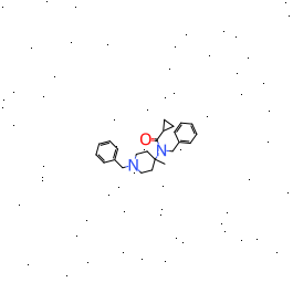 CC1(N(Cc2ccccc2)C(=O)C2CC2)CCN(Cc2ccccc2)CC1